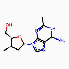 CC1=Nc2c(ncn2[C@H]2C[C@@H](C)[C@@H](CO)O2)C(N)N1